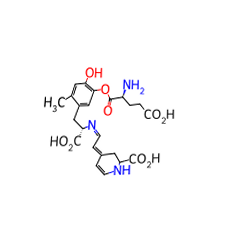 Cc1cc(O)c(OC(=O)[C@@H](N)CCC(=O)O)cc1C[C@H](/N=C\C=C1\C=CNC(C(=O)O)C1)C(=O)O